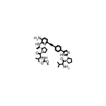 C=C(Nc1nc(C#Cc2ccc(-c3cnc([C@@H]4CCCN4C(=O)[C@@H](N)C(C)C)[nH]3)cc2)ccc1N)[C@@H]1CCCN1C(=O)[C@@H](NC(=O)OC)C(C)C